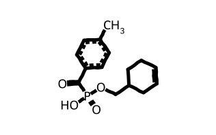 Cc1ccc(C(=O)P(=O)(O)OCC2CC=CCC2)cc1